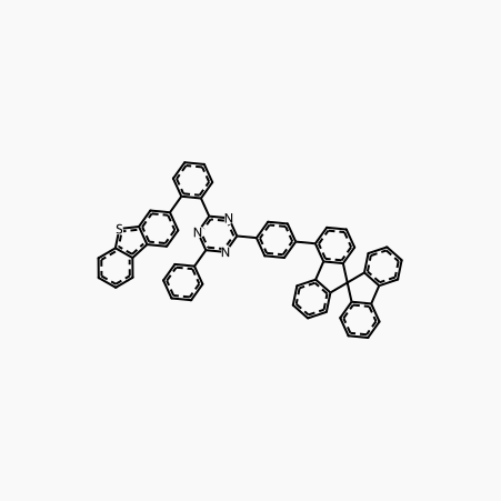 c1ccc(-c2nc(-c3ccc(-c4cccc5c4-c4ccccc4C54c5ccccc5-c5ccccc54)cc3)nc(-c3ccccc3-c3ccc4c(c3)sc3ccccc34)n2)cc1